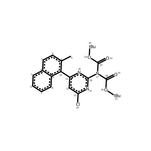 Cc1ccc2ccccc2c1-c1cc(Cl)nc(N(C(=O)OC(C)(C)C)C(=O)OC(C)(C)C)n1